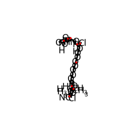 CC1(C)C(NC(=O)c2ccc(OCCOCCOCCOCCOCCOCCOCCOc3cc(Cl)cc(NC(=O)NCc4ccc5c(c4)CN(C4CCC(=O)NC4=O)C5=O)c3)cc2)C(C)(C)C1Oc1ccc(C#N)c(Cl)c1